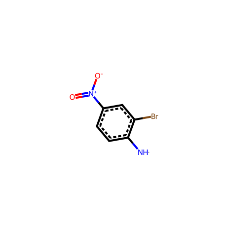 [NH]c1ccc([N+](=O)[O-])cc1Br